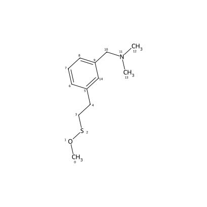 COSCCc1cccc(CN(C)C)c1